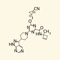 CC1(NC(=O)c2nc(OC[C@H]3C[C@H]3C#N)nc(N3CCC(c4n[nH]c5ncncc45)CC3)n2)C=CC1